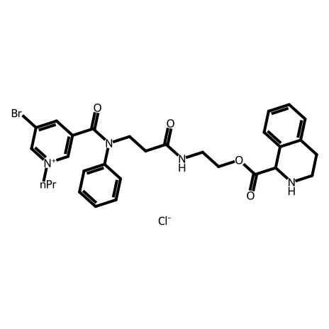 CCC[n+]1cc(Br)cc(C(=O)N(CCC(=O)NCCOC(=O)C2NCCc3ccccc32)c2ccccc2)c1.[Cl-]